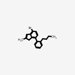 CCCCc1ccccc1-c1ccc(Br)c2c1CC(C)=C2